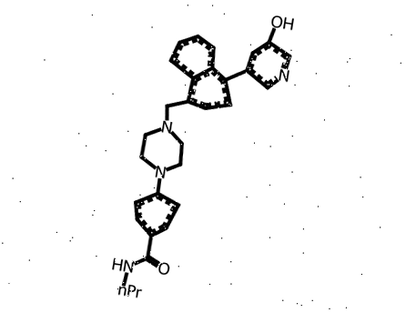 CCCNC(=O)c1ccc(N2CCN(Cc3ccc(-c4cncc(O)c4)c4ccccc34)CC2)cc1